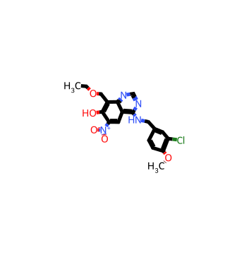 CCOCc1c(O)c([N+](=O)[O-])cc2c(NCc3ccc(OC)c(Cl)c3)ncnc12